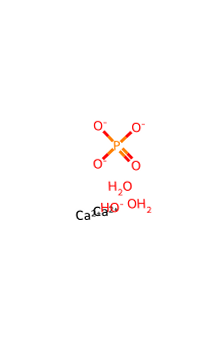 O.O.O=P([O-])([O-])[O-].[Ca+2].[Ca+2].[OH-]